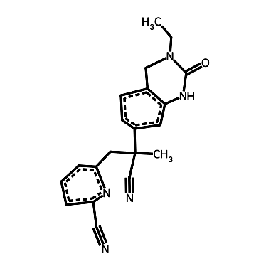 CCN1Cc2ccc(C(C)(C#N)Cc3cccc(C#N)n3)cc2NC1=O